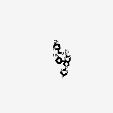 N#Cc1ccc(C(=O)Nc2cccc(C34CN(c5ncc(F)cn5)CC3CSC(N)=N4)c2)nc1